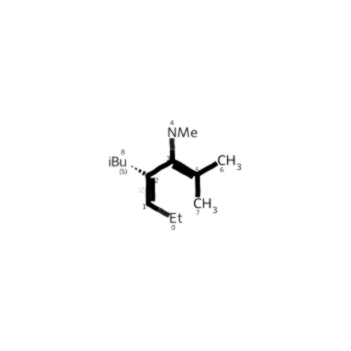 CC/C=C(\C(NC)=C(C)C)[C@@H](C)CC